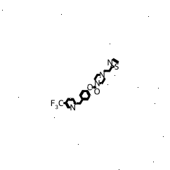 O=C(Oc1ccc(Cc2ccc(C(F)(F)F)cn2)cc1)N1CCN(CCc2nccs2)CC1